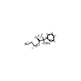 CCC(C)C[C@@H](C)OC(=O)C(OC)(c1ccccc1)C(F)(F)F